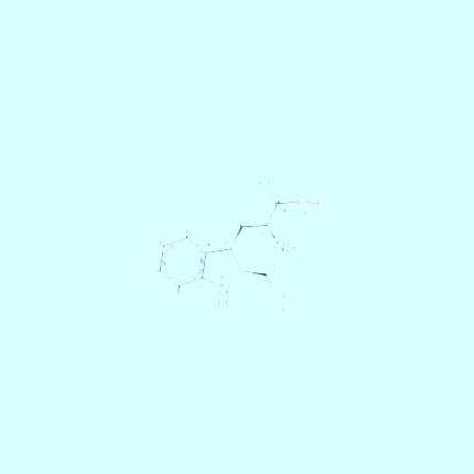 N[C@@H](C[C@@H]1c2ccccc2N[C@@H]1CO)C(=O)O